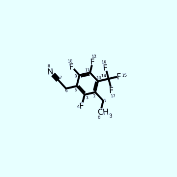 CCc1c(F)c(CC#N)c(F)c(F)c1C(F)(F)F